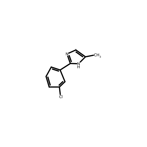 Cc1[c]nc(-c2cccc(Cl)c2)[nH]1